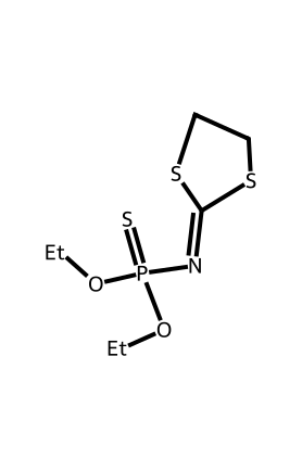 CCOP(=S)(N=C1SCCS1)OCC